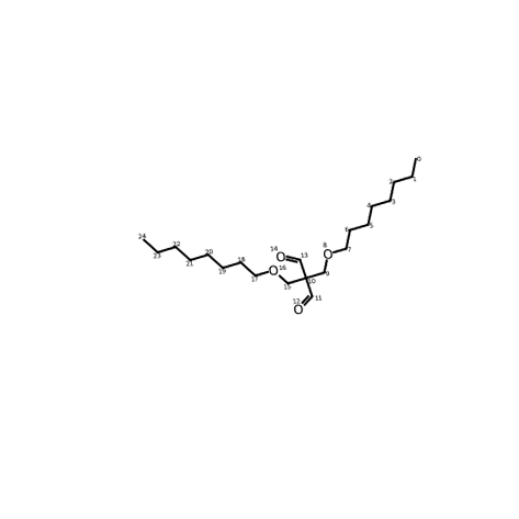 CCCCCCCCOCC(C=O)(C=O)COCCCCCCCC